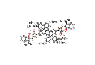 [C-]#[N+]/C(C#N)=C1\C(=C\c2cc(OCC(CC)CCCC)c(-c3cc4c(s3)-c3cc5c(cc3C4(c3ccc(CCCCCC)cc3)c3ccc(CCCCCC)cc3)-c3sc(-c4sc(/C=C6\C(=O)c7ccccc7\C6=C(\C#N)[N+]#[C-])cc4OCC(CC)CCCC)cc3C5(c3ccc(CCCCCC)cc3)c3ccc(CCCCCC)cc3)s2)C(=O)c2ccccc21